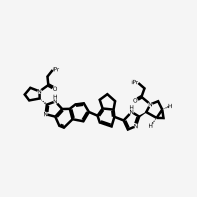 CC(C)CC(=O)N1C[C@H]2C[C@H]2[C@H]1c1ncc(-c2ccc(-c3ccc4c(ccc5nc([C@@H]6CCCN6C(=O)CC(C)C)[nH]c54)c3)c3c2CCC3)[nH]1